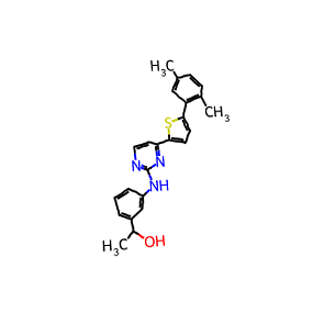 Cc1ccc(C)c(-c2ccc(-c3ccnc(Nc4cccc(C(C)O)c4)n3)s2)c1